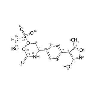 Cc1noc(C)c1-c1ccc(C(COS(C)(=O)=O)NC(=O)OC(C)(C)C)cc1